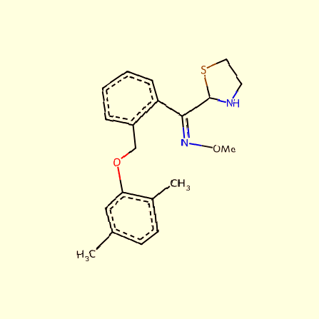 CON=C(c1ccccc1COc1cc(C)ccc1C)C1NCCS1